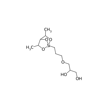 CC1O[Si]2(CCCOCC(O)CO)OC(C)C1O2